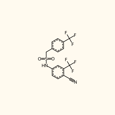 N#Cc1ccc(NS(=O)(=O)Cc2ccc(C(F)(F)F)cc2)cc1C(F)(F)F